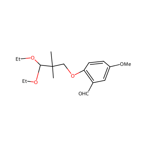 CCOC(OCC)C(C)(C)COc1ccc(OC)cc1C=O